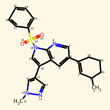 CC1C=C(c2cnc3c(c2)c(-c2cnn(C)c2)cn3S(=O)(=O)c2ccccc2)CCC1